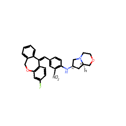 O=[N+]([O-])c1cc(C=C2c3ccccc3COc3cc(F)ccc32)ccc1N[C@@H]1C[C@@H]2COCCN2C1